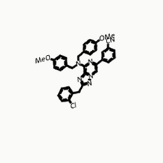 COc1ccc(CN(Cc2ccc(OC)cc2)c2nc(-c3cccc(C#N)c3)cn3nc(Cc4ccccc4Cl)nc23)cc1